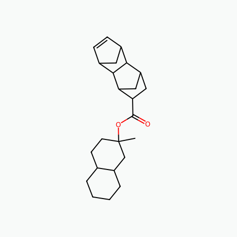 CC1(OC(=O)C2CC3CC2C2C4C=CC(C4)C32)CCC2CCCCC2C1